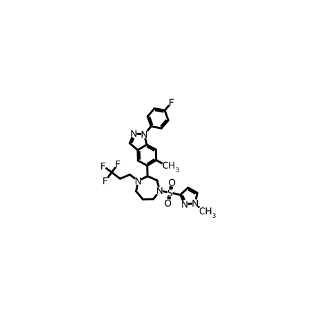 Cc1cc2c(cnn2-c2ccc(F)cc2)cc1C1CN(S(=O)(=O)c2ccn(C)n2)CCCN1CCC(F)(F)F